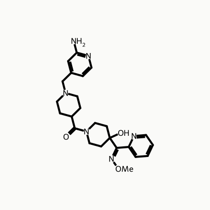 CO/N=C(\c1ccccn1)C1(O)CCN(C(=O)C2CCN(Cc3ccnc(N)c3)CC2)CC1